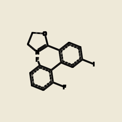 Fc1cccc(F)c1-c1cc(I)ccc1C1=NCCO1